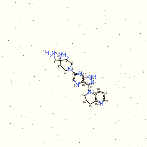 NCC1(N)CCN(c2cnc3c(N4CCCc5ncccc54)n[nH]c3n2)CC1